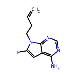 C=CCCn1c(I)cc2c(N)ncnc21